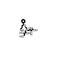 NCCCC(OCCN(C[C@H](O)[C@H](O)CO)C[C@H](O)[C@H](O)CO)c1ccccc1